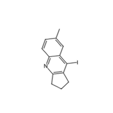 Cc1ccc2nc3c(c(I)c2c1)CCC3